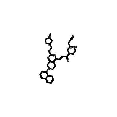 CN1CC[C@H](COc2nc(C=CC(=O)N3CCN[C@H](CC#N)C3)c3c(n2)CN(c2cccc4ccccc24)CC3)C1